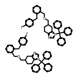 Fc1ccc(Cc2ccccc2COCC2CCc3c(ncn3C(c3ccccc3)(c3ccccc3)c3ccccc3)C2)cc1.Fc1ccc(Cc2ccccc2COCC2CCc3ncn(C(c4ccccc4)(c4ccccc4)c4ccccc4)c3C2)cc1